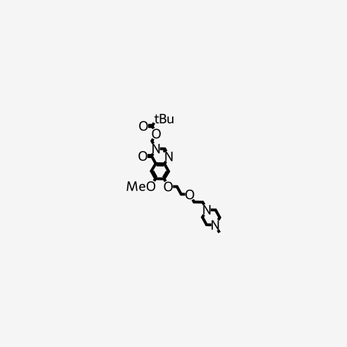 COc1cc2c(=O)n(COC(=O)C(C)(C)C)cnc2cc1OCCOCCN1CCN(C)CC1